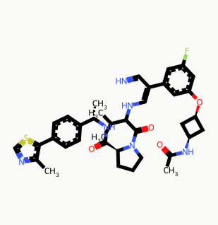 CC(=O)N[C@H]1C[C@@H](Oc2cc(F)cc(/C(C=N)=C/NC(C(=O)N3CCC[C@H]3C(=O)N[C@@H](C)c3ccc(-c4scnc4C)cc3)C(C)C)c2)C1